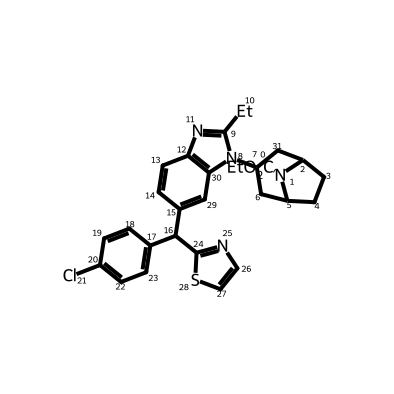 CCOC(=O)N1C2CCC1CC(n1c(CC)nc3ccc(C(c4ccc(Cl)cc4)c4nccs4)cc31)C2